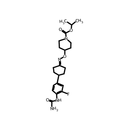 CC(C)OC(=O)N1CCC(ON=C2CCC(c3ccc(NC(N)=O)c(F)c3)CC2)CC1